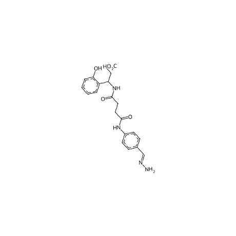 NN=Cc1ccc(NC(=O)CCC(=O)NC(CC(=O)O)c2ccccc2O)cc1